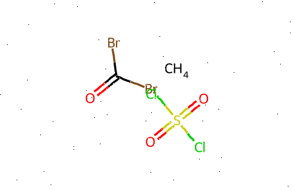 C.O=C(Br)Br.O=S(=O)(Cl)Cl